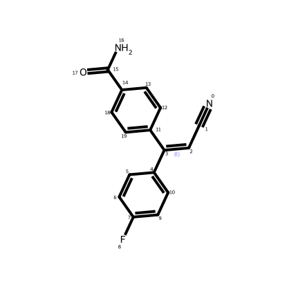 N#C/C=C(/c1ccc(F)cc1)c1ccc(C(N)=O)cc1